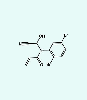 C=CC(=O)N(c1cc(Br)ccc1Br)C(O)C#N